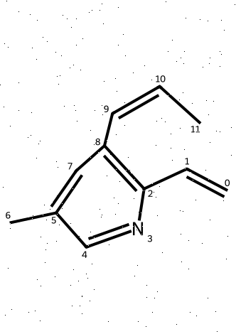 C=Cc1ncc(C)cc1/C=C\C